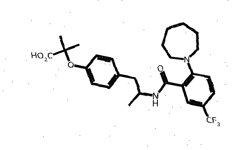 CC(Cc1ccc(OC(C)(C)C(=O)O)cc1)NC(=O)c1cc(C(F)(F)F)ccc1N1CCCCCC1